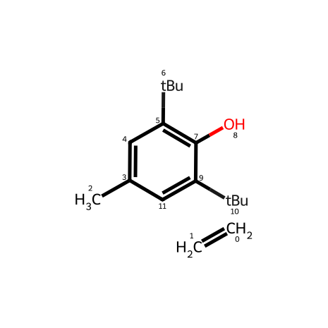 C=C.Cc1cc(C(C)(C)C)c(O)c(C(C)(C)C)c1